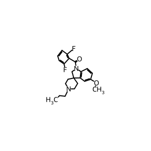 CCCN1CCC2(CC1)CN(C(=O)c1c(F)cccc1F)c1ccc(OC)cc12